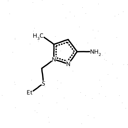 CCSCn1nc(N)cc1C